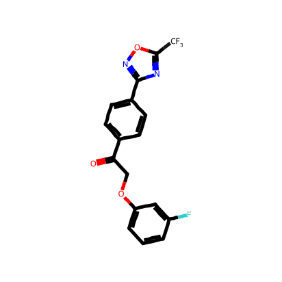 O=C(COc1cccc(F)c1)c1ccc(-c2noc(C(F)(F)F)n2)cc1